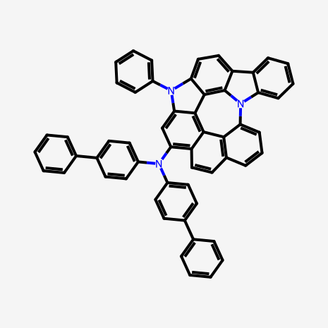 c1ccc(-c2ccc(N(c3ccc(-c4ccccc4)cc3)c3cc4c5c6c3ccc3cccc(c36)n3c6ccccc6c6ccc(c5c63)n4-c3ccccc3)cc2)cc1